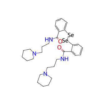 O=C(NCCCN1CCCCC1)c1ccccc1[Se][Se]c1ccccc1C(=O)NCCCN1CCCCC1